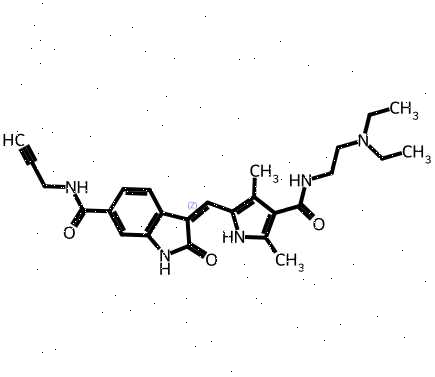 C#CCNC(=O)c1ccc2c(c1)NC(=O)/C2=C\c1[nH]c(C)c(C(=O)NCCN(CC)CC)c1C